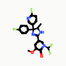 COc1cc(C2=NC(c3ccc(F)cc3)(c3ccc(F)nc3)C(C)N2)cn(C(F)F)c1=O